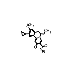 CCC1Cc2cc(OC)c(C3CC3)cc2-c2cc(=O)c(C(=O)N=O)cn21